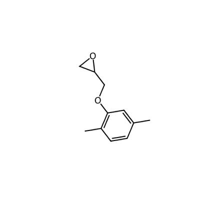 Cc1ccc(C)c(OCC2CO2)c1